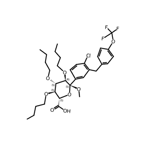 CCCCO[C@H]1[C@H](OCCCC)[C@@H](OCCCC)[C@](OC)(c2ccc(Cl)c(Cc3ccc(OC(F)(F)F)cc3)c2)O[C@@H]1C(=O)O